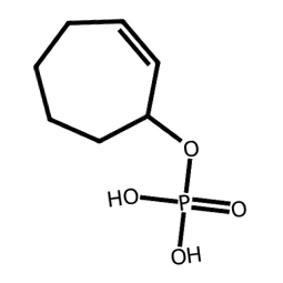 O=P(O)(O)OC1C=CCCCC1